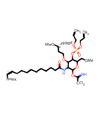 C=CCOP(=O)(OCC=C)OC1C(COC)OC(OC(=N)C(Cl)(Cl)Cl)C(NC(=O)CCCCCCCCC/C=C\CCCCCC)C1OCC[C@@H](CCCCCCC)OC